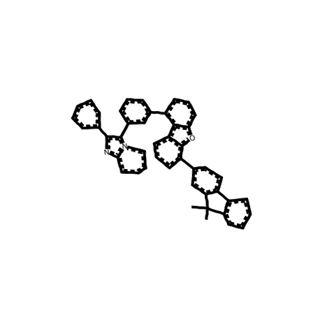 CC1(C)c2ccccc2-c2ccc(-c3cccc4c3oc3cccc(-c5cccc(-c6c(-c7ccccc7)nc7ccccn67)c5)c34)cc21